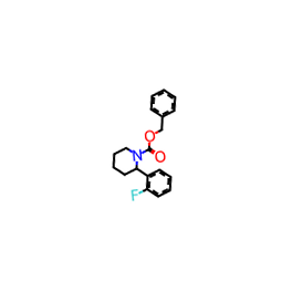 O=C(OCc1ccccc1)N1CCCCC1c1ccccc1F